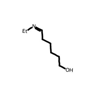 CC/N=C\CCCCCO